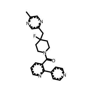 Cc1cnc(CC2(F)CCN(C(=O)c3cccnc3-c3ccncc3)CC2)cn1